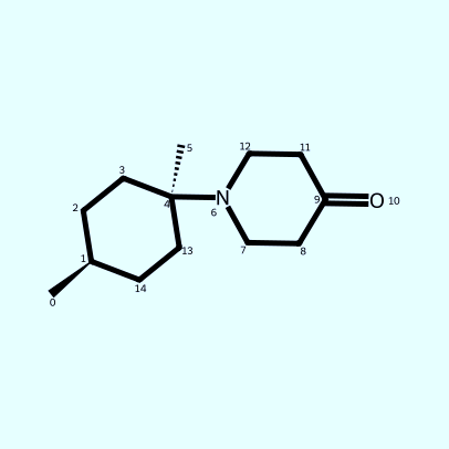 C[C@H]1CC[C@@](C)(N2CCC(=O)CC2)CC1